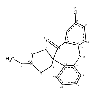 CCN1CCC2(CC1)C(=O)c1cc(Cl)ccc1Sc1ccccc12